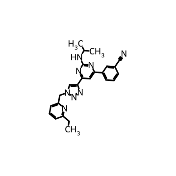 CCc1cccc(Cn2cc(-c3cc(-c4cccc(C#N)c4)nc(NC(C)C)n3)nn2)n1